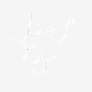 CCn1c(=O)n(Cc2ccccc2C)c2c(N3CCC[C@@H](N)C3)cc(C)nc21